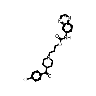 O=C(Nc1ccc2nccnc2c1)OCCCN1CCC(C(=O)c2ccc(Cl)cc2)CC1